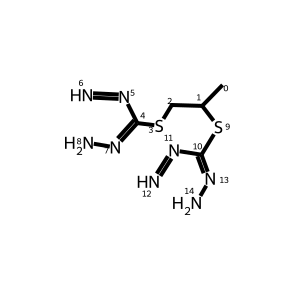 CC(CSC(N=N)=NN)SC(N=N)=NN